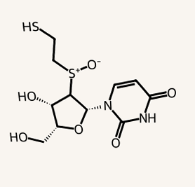 O=c1ccn([C@@H]2O[C@H](CO)[C@H](O)C2[S+]([O-])CCS)c(=O)[nH]1